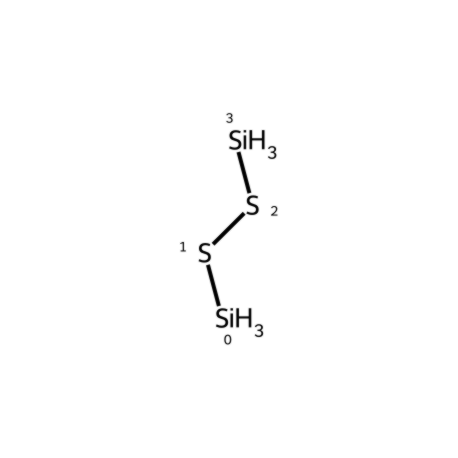 [SiH3]SS[SiH3]